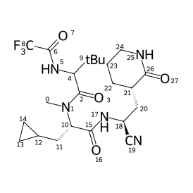 CN(C(=O)C(NC(=O)C(F)(F)F)C(C)(C)C)[C@@H](CC1CC1)C(=O)N[C@H](C#N)C[C@@H]1CCCNC1=O